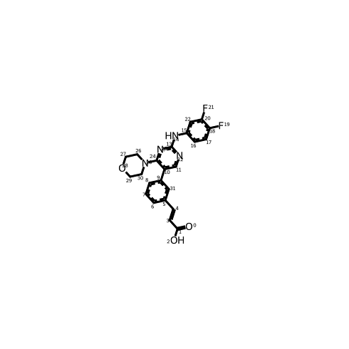 O=C(O)/C=C/c1cccc(-c2cnc(Nc3ccc(F)c(F)c3)nc2N2CCOCC2)c1